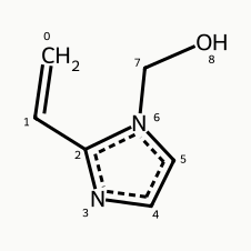 C=Cc1nccn1CO